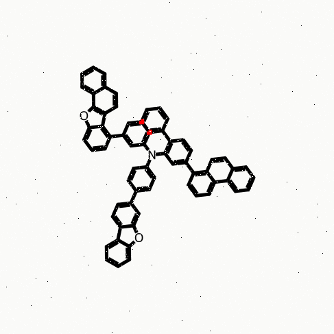 c1ccc(-c2ccc(-c3cccc4c3ccc3ccccc34)cc2N(c2ccc(-c3ccc4c(c3)oc3ccccc34)cc2)c2cccc(-c3cccc4oc5c6ccccc6ccc5c34)c2)cc1